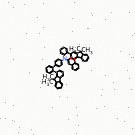 CC1(C)c2ccccc2-c2ccc(-c3ccccc3N(c3ccc(-c4ccccc4-c4cccc5c4C(C)(C)c4ccccc4-5)cc3)c3ccc4ccccc4c3)cc21